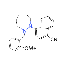 COc1ccccc1CN1CCCCCN1c1ccc(C#N)c2ccccc12